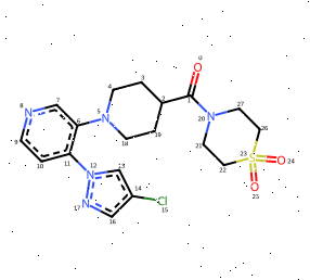 O=C(C1CCN(c2cnccc2-n2cc(Cl)cn2)CC1)N1CCS(=O)(=O)CC1